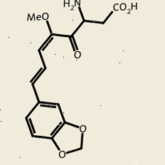 COC(=CC=Cc1ccc2c(c1)OCO2)C(=O)C(N)CC(=O)O